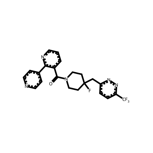 O=C(c1cccnc1-c1ccncc1)N1CCC(F)(Cc2ccc(C(F)(F)F)nn2)CC1